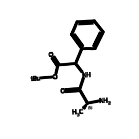 C[C@H](N)C(=O)NC(C(=O)OC(C)(C)C)c1ccccc1